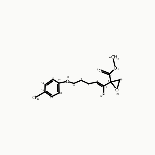 COC(=O)C1(/C(F)=C/CCCOc2ccc(Cl)cc2)CO1